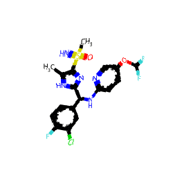 Cc1[nH]c(C(Nc2ccc(OC(F)F)cn2)c2ccc(F)c(Cl)c2)nc1S(C)(=N)=O